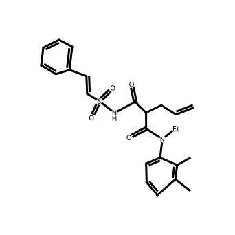 C=CCC(C(=O)NS(=O)(=O)C=Cc1ccccc1)C(=O)N(CC)c1cccc(C)c1C